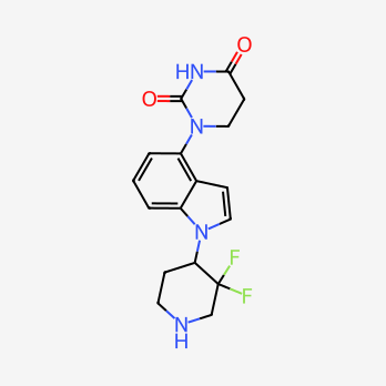 O=C1CCN(c2cccc3c2ccn3C2CCNCC2(F)F)C(=O)N1